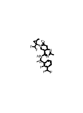 Cc1nc(N[C@H](C)c2cccc(C(F)F)c2F)c2cn(C3(C(F)F)CC3C)c(=O)cc2n1